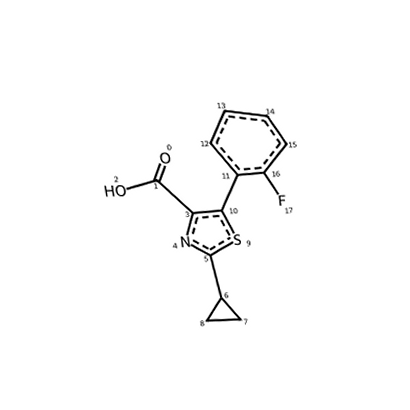 O=C(O)c1nc(C2CC2)sc1-c1ccccc1F